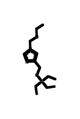 CCOCn1cnc(CO[Si](CC)(CC)CC)c1